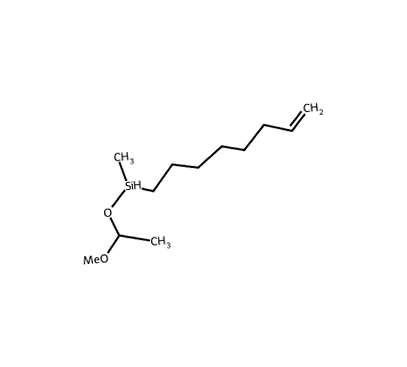 C=CCCCCCC[SiH](C)OC(C)OC